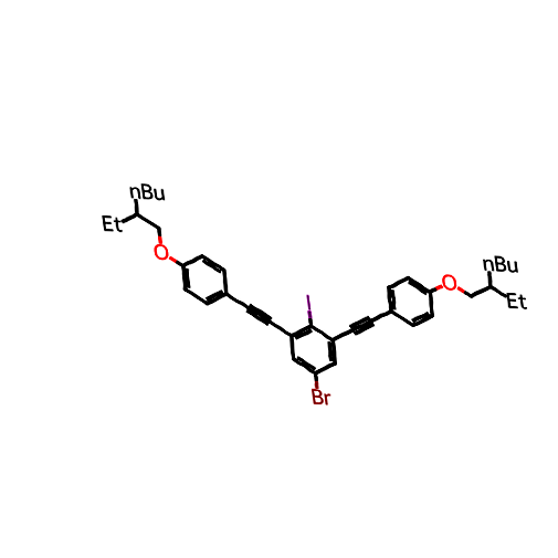 CCCCC(CC)COc1ccc(C#Cc2cc(Br)cc(C#Cc3ccc(OCC(CC)CCCC)cc3)c2I)cc1